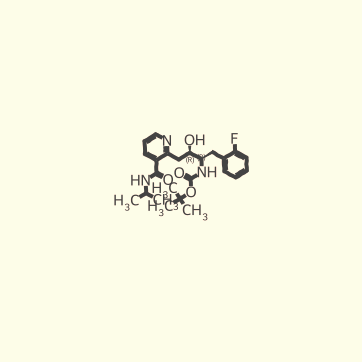 CC(C)NC(=O)c1cccnc1C[C@@H](O)[C@@H](Cc1ccccc1F)NC(=O)OC(C)(C)C